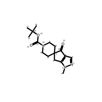 Cn1ncc2c1CC1(CCN(C(=O)OC(C)(C)C)CC1)C2=O